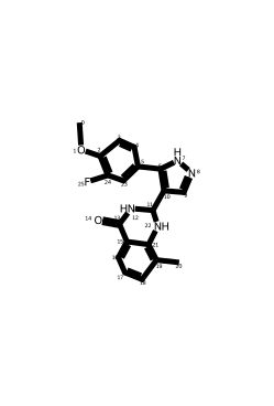 COc1ccc(-c2[nH]ncc2C2NC(=O)c3cccc(C)c3N2)cc1F